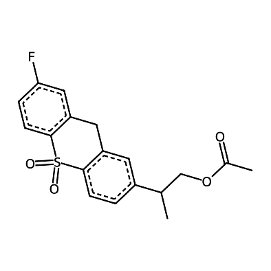 CC(=O)OCC(C)c1ccc2c(c1)Cc1cc(F)ccc1S2(=O)=O